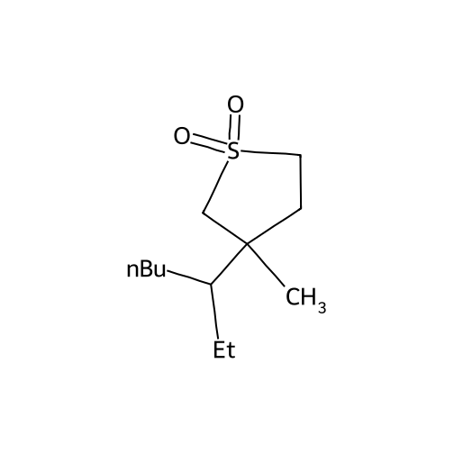 CCCCC(CC)C1(C)CCS(=O)(=O)C1